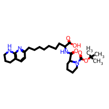 CC(C)(C)OC(=O)N1CCCCC1C(=O)NC(CCCCCCCc1ccc2c(n1)NCCC2)C(=O)O